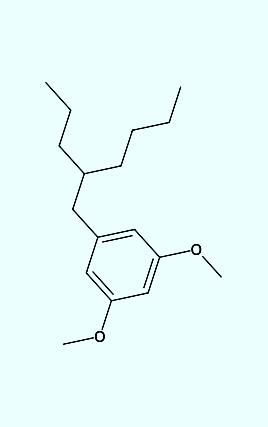 CCCCC(CCC)Cc1cc(OC)cc(OC)c1